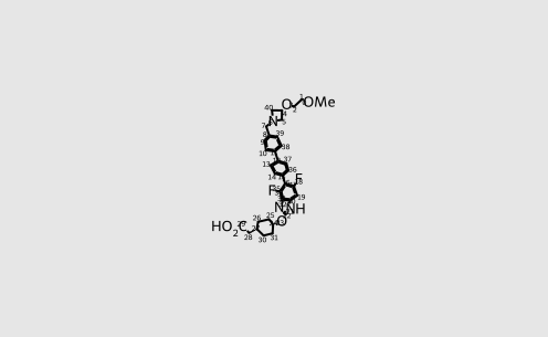 COCCOC1CN(Cc2ccc(-c3ccc(-c4c(F)cc5[nH]c(O[C@H]6CC[C@H](CC(=O)O)CC6)nc5c4F)cc3)cc2)C1